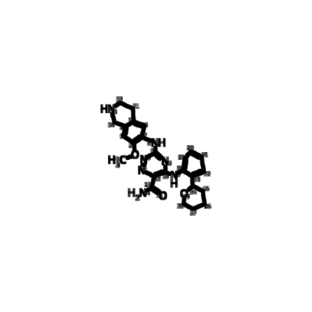 COc1cc2c(cc1Nc1nnc(C(N)=O)c(Nc3ccccc3C3CCCCO3)n1)CCNC2